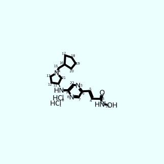 Cl.Cl.O=C(C=Cc1cnc(N[C@@H]2CCN(CC3CCCC3)C2)cn1)NO